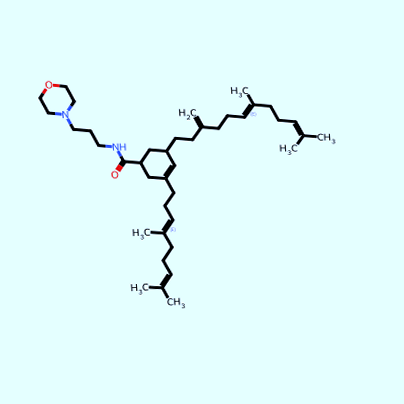 C=C(CC/C=C(\C)CCC=C(C)C)CCC1C=C(CC/C=C(\C)CCC=C(C)C)CC(C(=O)NCCCN2CCOCC2)C1